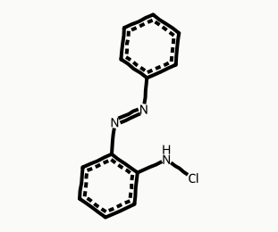 ClNc1ccccc1N=Nc1ccccc1